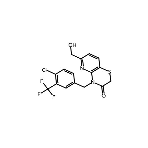 O=C1CSc2ccc(CO)nc2N1Cc1ccc(Cl)c(C(F)(F)F)c1